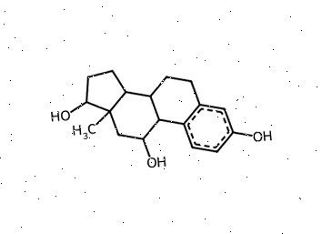 CC12CC(O)C3c4ccc(O)cc4CCC3C1CCC2O